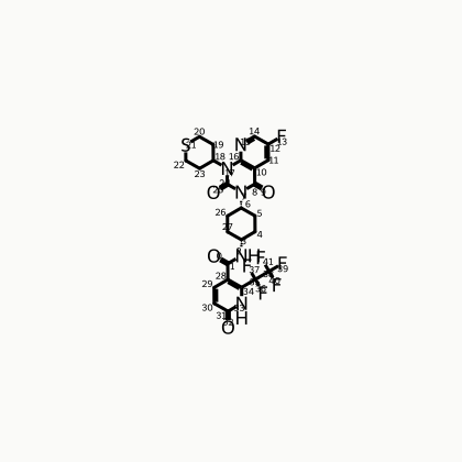 O=C(N[C@H]1CC[C@@H](n2c(=O)c3cc(F)cnc3n(C3CCSCC3)c2=O)CC1)c1ccc(=O)[nH]c1C(F)(F)C(F)(F)F